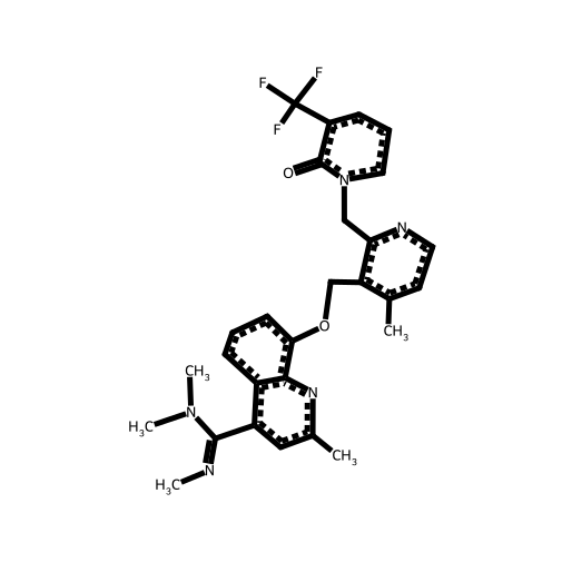 C/N=C(/c1cc(C)nc2c(OCc3c(C)ccnc3Cn3cccc(C(F)(F)F)c3=O)cccc12)N(C)C